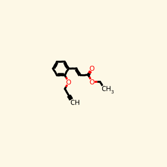 C#CCOc1ccccc1C=CC(=O)OCC